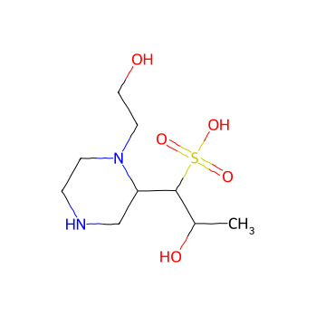 CC(O)C(C1CNCCN1CCO)S(=O)(=O)O